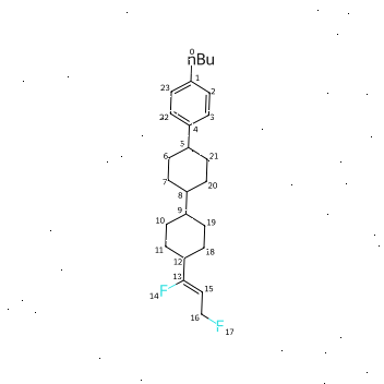 CCCCc1ccc(C2CCC(C3CCC(/C(F)=C/CF)CC3)CC2)cc1